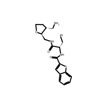 CC(C)C[C@H](NC(=O)c1cc2ccccc2s1)C(=O)NC[C@H]1OCC[C@@H]1CN